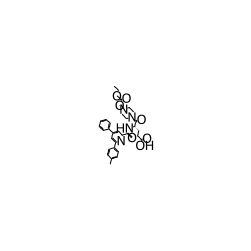 CCOC(=O)ON1CCN(C(=O)[C@H](CCC(=O)O)NC(=O)c2cc(-c3ccccc3)cc(-c3ccc(C)cc3)n2)CC1